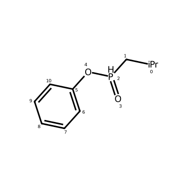 CC(C)C[PH](=O)Oc1ccccc1